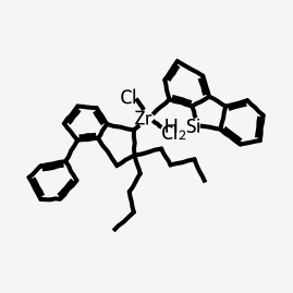 CCCCC1(CCCC)Cc2c(-c3ccccc3)cccc2[CH]1[Zr]([Cl])([Cl])[c]1cccc2c1[SiH2]c1ccccc1-2